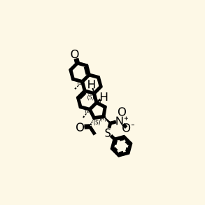 CC(=O)[C@H]1[C@H](C(Sc2ccccc2)[N+](=O)[O-])C[C@H]2[C@@H]3CCC4=CC(=O)CC[C@]4(C)C3=CC[C@@]21C